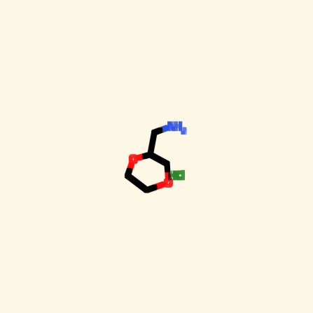 Cl.NCC1COCCO1